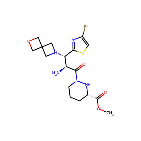 COC(=O)[C@@H]1CCCN(C(=O)[C@@H](N)[C@@H](c2nc(Br)cs2)N2CC3(COC3)C2)N1